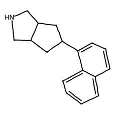 c1ccc2c(C3CC4CNCC4C3)cccc2c1